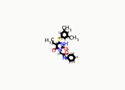 CCc1c(Sc2cc(C)cc(C)c2)[nH]c(=O)n(Cc2nc3ccccc3o2)c1=O